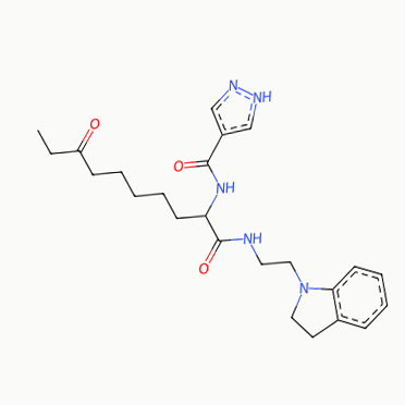 CCC(=O)CCCCCC(NC(=O)c1cn[nH]c1)C(=O)NCCN1CCc2ccccc21